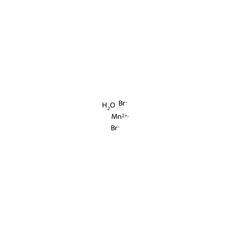 O.[Br-].[Br-].[Mn+2]